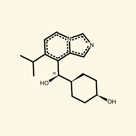 CC(C)c1ccn2cncc2c1[C@H](O)[C@H]1CC[C@@H](O)CC1